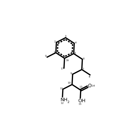 Cc1cccc(CC(C)CC(CN)C(=O)O)c1C